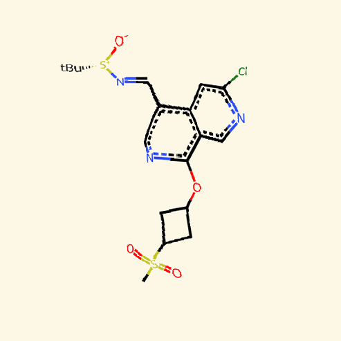 CC(C)(C)[S@+]([O-])/N=C/c1cnc(OC2CC(S(C)(=O)=O)C2)c2cnc(Cl)cc12